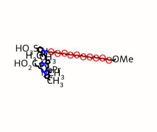 CCCC1(C)C(C=CC2=C(N3CCCC3)C(=CC=C3N(CCOCCOCCOCCOCCOCCOCCOCCOCCOCCOCCOC)c4ccc(S(=O)(=O)O)cc4C3(C)C)CC2)=[N+](CCCCCC(=O)O)c2ccc(C)cc21